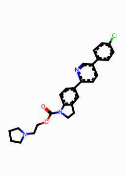 O=C(OCCN1CCCC1)N1CCc2cc(-c3ccc(-c4ccc(Cl)cc4)cn3)ccc21